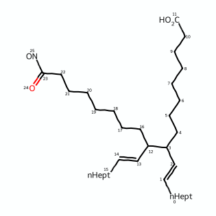 CCCCCCC/C=C/C(CCCCCCCC(=O)O)C(/C=C/CCCCCCC)CCCCCCCC(=O)N=O